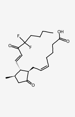 CCCCC(F)(F)C(=O)/C=C/[C@H]1[C@H](C)CC(=O)[C@@H]1C/C=C\CCCC(=O)O